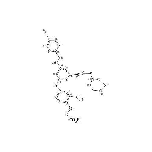 CCOC(=O)COc1ccc(Sc2cc(C#CCN3CCOCC3)cc(OCc3ccc(F)cc3)c2)cc1C